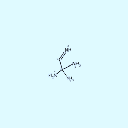 N=CC(N)(N)N